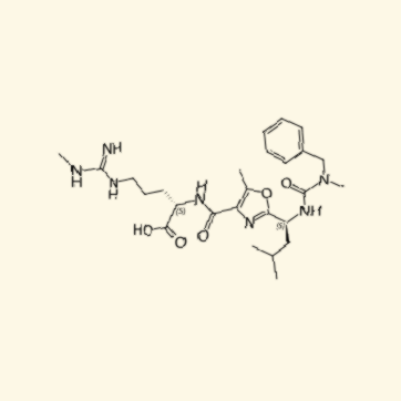 CNC(=N)NCCC[C@H](NC(=O)c1nc([C@H](CC(C)C)NC(=O)N(C)Cc2ccccc2)oc1C)C(=O)O